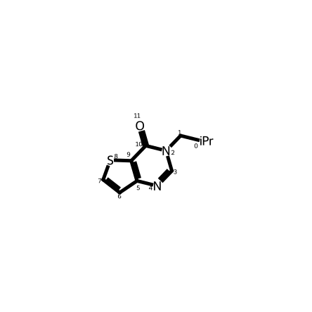 CC(C)Cn1cnc2ccsc2c1=O